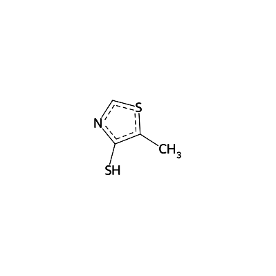 Cc1scnc1S